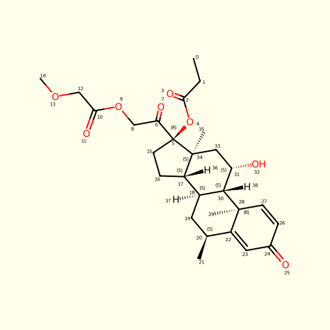 CCC(=O)O[C@]1(C(=O)COC(=O)COC)CC[C@H]2[C@@H]3C[C@H](C)C4=CC(=O)C=C[C@]4(C)[C@H]3[C@@H](O)C[C@@]21C